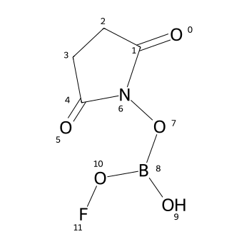 O=C1CCC(=O)N1OB(O)OF